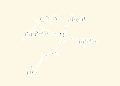 CCCCC[N+](CCO)(CCCCC)CCCCC.O=C([O-])O